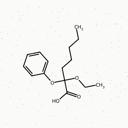 CCCCCC(OCC)(Oc1ccccc1)C(=O)O